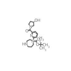 CC(C)(C)OC(=O)[N+]1(c2cccc(C(=O)N3CC[C@@H](O)C3)n2)CCCNCC1